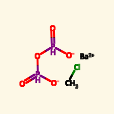 CCl.O=[PH]([O-])O[PH](=O)[O-].[Ba+2]